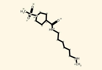 CNCCCCCCNC(=O)C1CCN(S(C)(=O)=O)CC1